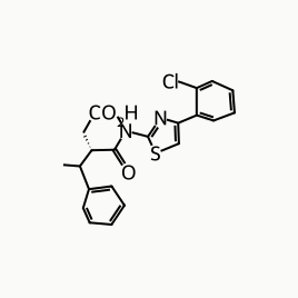 CC(c1ccccc1)[C@H](CC(=O)O)C(=O)N(C)c1nc(-c2ccccc2Cl)cs1